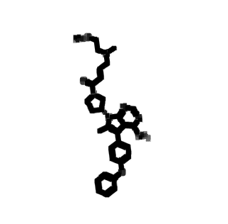 COCCN(C)CC=CC(=O)N1CC[C@@H](n2c(C)c(-c3ccc(Oc4ccccc4)cc3)c3c(N)ncnc32)C1